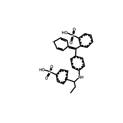 CCC(Nc1ccc(C(=C2C=C[C]C=C2)c2ccccc2S(=O)(=O)O)cc1)c1ccc(S(=O)(=O)O)cc1